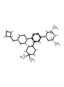 C[C@@H]1CN(c2ccc(N3CCN(CC4CCC4)CC3)c(C3CCC(C)(C)CC3)c2)C[C@H](C)O1